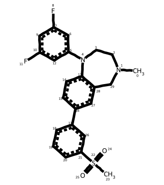 CN1CCN(c2cc(F)cc(F)c2)c2ccc(-c3cccc(S(C)(=O)=O)c3)cc2C1